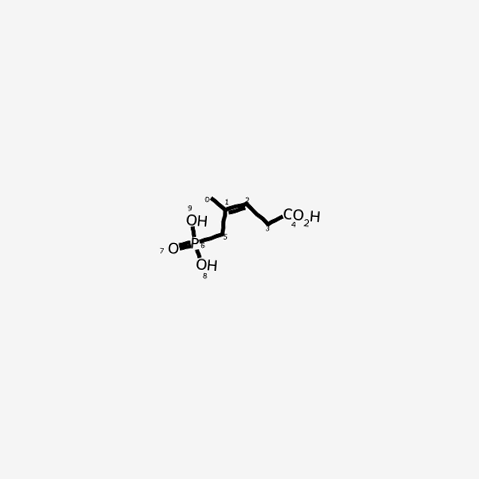 CC(=CCC(=O)O)CP(=O)(O)O